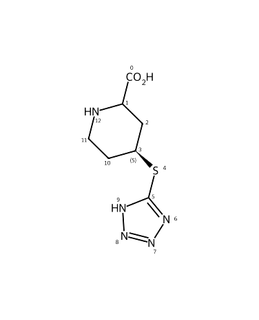 O=C(O)C1C[C@@H](Sc2nnn[nH]2)CCN1